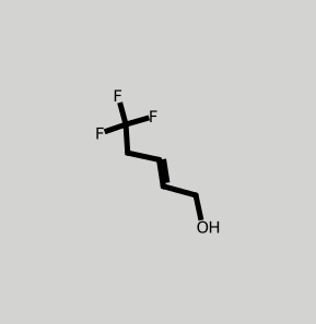 OCC=CCC(F)(F)F